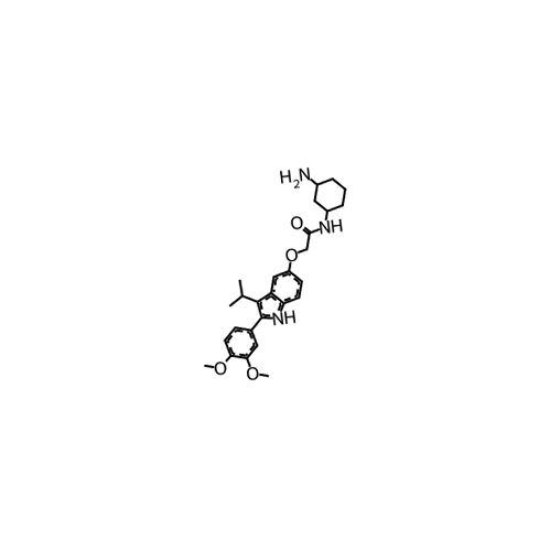 COc1ccc(-c2[nH]c3ccc(OCC(=O)NC4CCCC(N)C4)cc3c2C(C)C)cc1OC